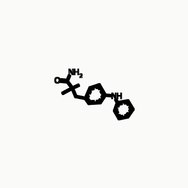 CC(C)(Cc1ccc(Nc2ccccc2)cc1)C(N)=O